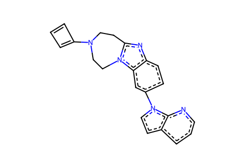 C1=CC(N2CCc3nc4ccc(-n5ccc6cccnc65)cc4n3CC2)=C1